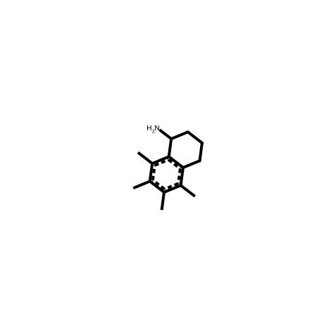 Cc1c(C)c(C)c2c(c1C)CCCC2N